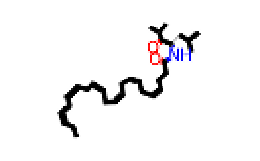 CC/C=C\C/C=C\C/C=C\C/C=C\C/C=C\C/C=C\CCC(=O)N[C@@H](CC(C)C)C(=O)C(C)C